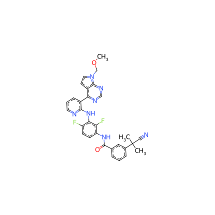 COCn1ccc2c(-c3cccnc3Nc3c(F)ccc(NC(=O)c4cccc(C(C)(C)C#N)c4)c3F)ncnc21